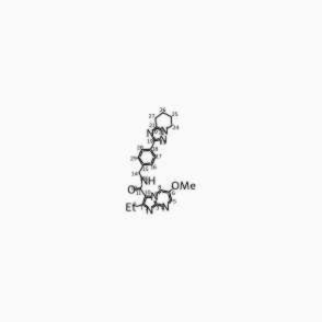 CCc1nc2ncc(OC)cn2c1C(=O)NCc1ccc(-c2nc3n(n2)CCCC3)cc1